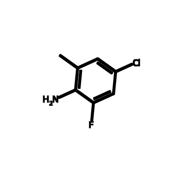 Cc1cc(Cl)cc(F)c1N